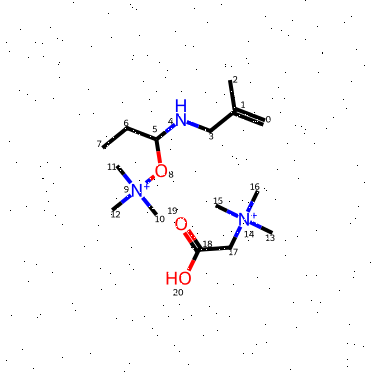 C=C(C)CNC(CC)O[N+](C)(C)C.C[N+](C)(C)CC(=O)O